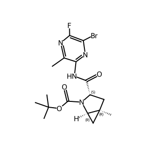 Cc1nc(F)c(Br)nc1NC(=O)[C@@H]1C[C@@]2(C)C[C@H]2N1C(=O)OC(C)(C)C